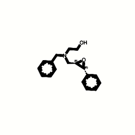 OCCN(Cc1ccccc1)C[C@H]1O[C@@H]1c1ccccc1